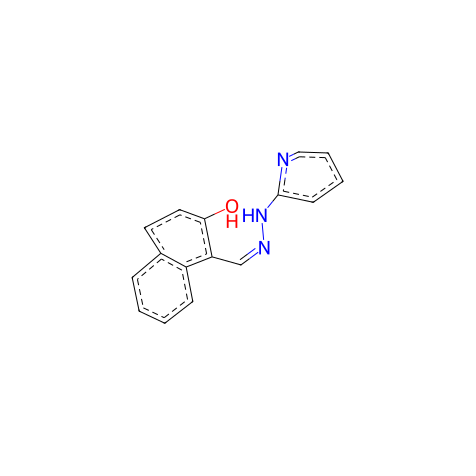 Oc1ccc2ccccc2c1/C=N\Nc1ccccn1